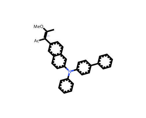 CO/C(C)=C(\C(C)=O)c1ccc2cc(N(c3ccccc3)c3ccc(-c4ccccc4)cc3)ccc2c1